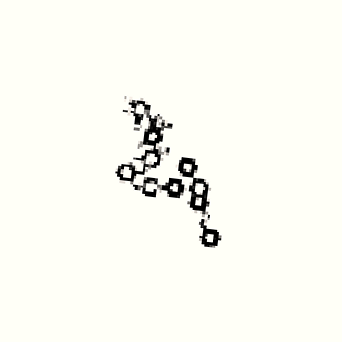 C[C@H]1CC(O)(c2cc3c(cc2F)c(N2CCC(=O)NC2=O)nn3C)CCN1C[C@@H]1CCCC[C@H]1CN1CCN(c2ccc([C@@H]3c4ccc(OCc5ccccc5)cc4CC[C@@H]3c3ccccc3)cc2)CC1